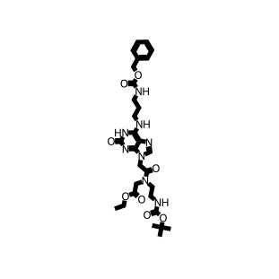 CCOC(=O)CN(CCNC(=O)OC(C)(C)C)C(=O)Cn1cnc2c(NCCCNC(=O)OCc3ccccc3)[nH]c(=O)nc21